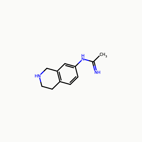 CC(=N)Nc1ccc2c(c1)CNCC2